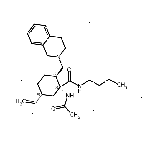 C=C[C@@H]1CC[C@@H](CN2CCc3ccccc3C2)[C@@](NC(C)=O)(C(=O)NCCCC)C1